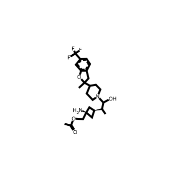 CC(=O)OC[C@]1(N)C[C@@H](C(C)C(O)N2CCC(C3(C)Cc4ccc(C(F)(F)F)cc4O3)CC2)C1